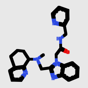 CN(Cc1nc2ccccc2n1CC(=O)NCc1ccccn1)C1CCCc2cccnc21